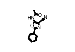 CC(=O)Nc1oc(-c2ccccc2)nc1C#N